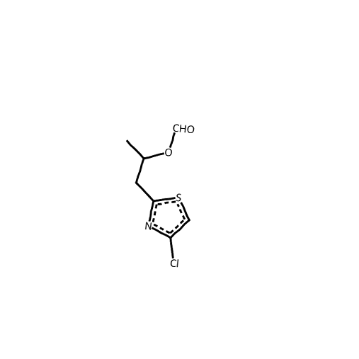 CC(Cc1nc(Cl)cs1)OC=O